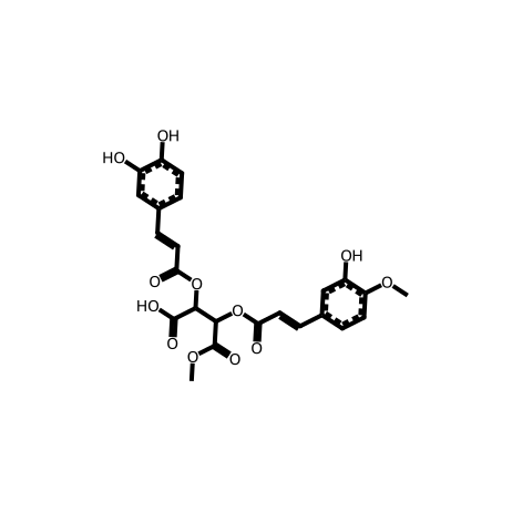 COC(=O)C(OC(=O)/C=C/c1ccc(OC)c(O)c1)C(OC(=O)/C=C/c1ccc(O)c(O)c1)C(=O)O